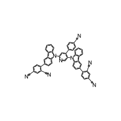 N#Cc1ccc(-c2cc(-n3c4ccccc4c4cc(-c5ccc(C#N)cc5C#N)ccc43)ncc2-n2c3ccccc3c3cc(-c4ccc(C#N)cc4C#N)ccc32)cc1